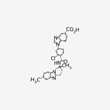 Cc1ccc2c(c1)nc1n2C[C@](C)(NC(=O)c2ccc(-n3cnc4cc(C(=O)O)ccc43)cc2Cl)CC1